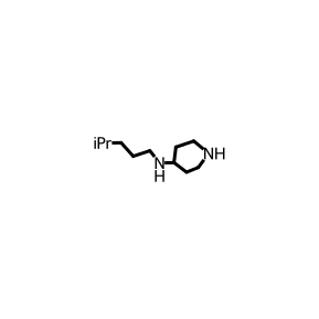 CC(C)CCCNC1CCNCC1